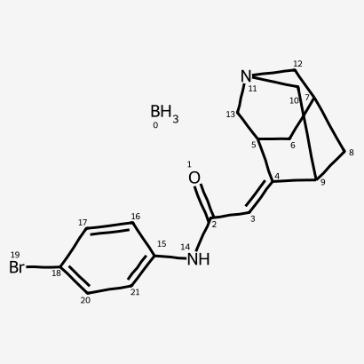 B.O=C(C=C1C2CC3CC1CN(C3)C2)Nc1ccc(Br)cc1